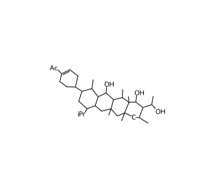 CC(=O)C1=CCC(C2CC(C(C)C)C3CC4(C)CC5(C)CC(C)C(C(C)O)C(O)C5(C)C(C)C4C(O)C3C2C)CC1